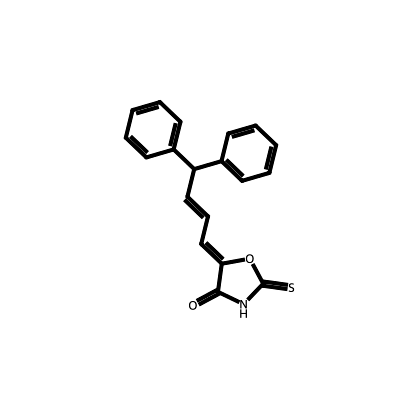 O=C1NC(=S)OC1=CC=CC(c1ccccc1)c1ccccc1